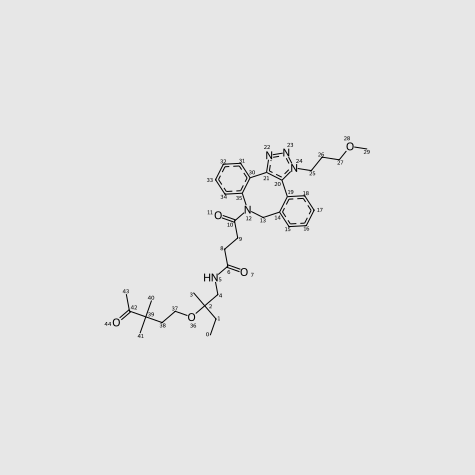 CCC(C)(CNC(=O)CCC(=O)N1Cc2ccccc2-c2c(nnn2CCCOC)-c2ccccc21)OCCC(C)(C)C(C)=O